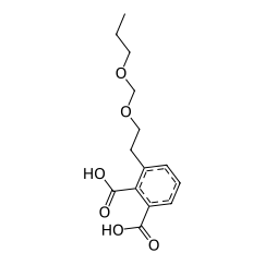 CCCOCOCCc1cccc(C(=O)O)c1C(=O)O